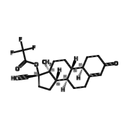 C#C[C@]1(OC(=O)C(F)(F)F)CC[C@H]2[C@@H]3CCC4=CC(=O)CC[C@@H]4[C@H]3CC[C@@]21C